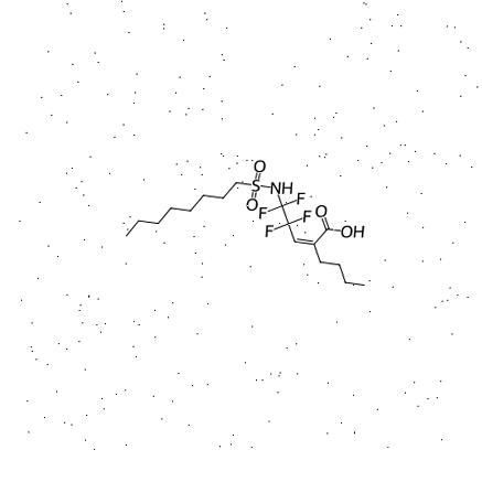 CCCCCCCCS(=O)(=O)NC(F)(F)C(F)(F)C=C(CCCC)C(=O)O